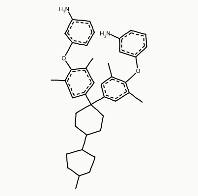 Cc1cc(C2(c3cc(C)c(Oc4cccc(N)c4)c(C)c3)CCC(C3CCC(C)CC3)CC2)cc(C)c1Oc1cccc(N)c1